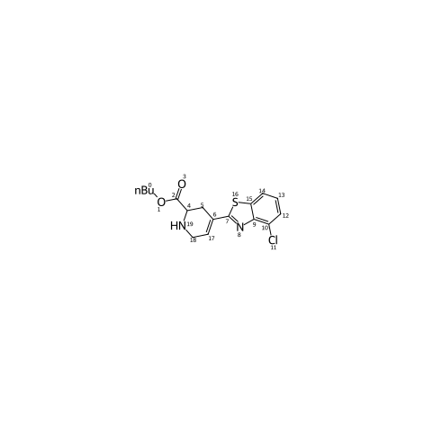 CCCCOC(=O)C1CC(c2nc3c(Cl)cccc3s2)=CCN1